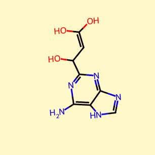 Nc1nc(C(O)C=C(O)O)nc2nc[nH]c12